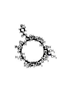 C/C=C/C[C@@H](C)[C@@H](O)[C@H]1C(=O)N[C@@H](CC)C(=O)N(C)[C@H](C)C(=O)N(C)[C@@H]([C@H](C)COC(=O)N2CCN(C)CC2)C(=O)N[C@@H](C(C)C)C(=O)N(C)[C@@H](CC(C)C)C(=O)N[C@@H](C)C(=O)N[C@H](C)C(=O)N(C)[C@@H](CC(C)C)C(=O)N(C)[C@@H](CC(C)C)C(=O)N(C)[C@@H](C(C)C)C(=O)N1C